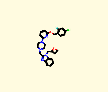 Fc1cc(Cl)ccc1COc1cccc(N2CCN(Cc3nc4ccccc4n3C[C@@H]3CCO3)CC2)n1